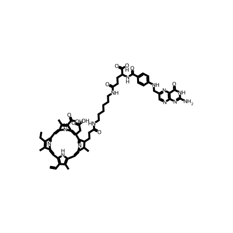 C=Cc1c(C)c2cc3nc(c(CC(=O)O)c4[nH]c(cc5nc(cc1[nH]2)C(C)=C5CC)c(C)c4C(=O)O)C(CCC(=O)NCCCCCCNC(=O)CCC(NC(=O)c1ccc(NCc2cnc4nc(N)[nH]c(=O)c4n2)cc1)C(=O)O)C3C